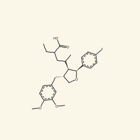 CCC(CC(C)[C@@H]1[C@@H](Cc2ccc(OC)c(OC)c2)CO[C@@H]1c1ccc(F)cc1)C(=O)O